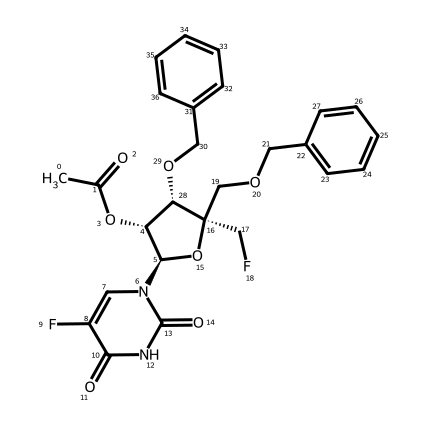 CC(=O)O[C@H]1[C@H](n2cc(F)c(=O)[nH]c2=O)O[C@](CF)(COCc2ccccc2)[C@H]1OCc1ccccc1